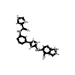 O=C(Nc1cccc(-c2nsc(Nc3ccc4[nH]ncc4c3Cl)n2)c1)c1cnco1